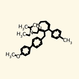 CCN(CC1=C(Cc2ccc(-c3ccc(OC)cc3)cc2)C(c2ccc(C)cc2)=C=CCO1)C(C)C